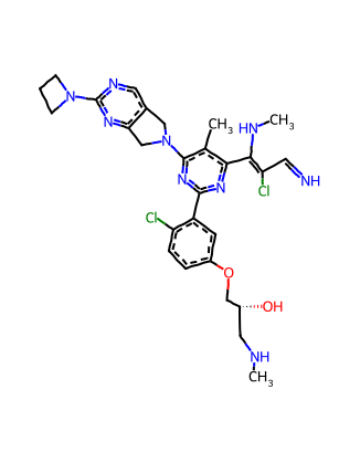 CNC[C@@H](O)COc1ccc(Cl)c(-c2nc(/C(NC)=C(\Cl)C=N)c(C)c(N3Cc4cnc(N5CCC5)nc4C3)n2)c1